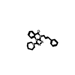 O=c1c2ccccc2n2c(N3CCCCCC3)nnc2n1CC=Cc1ccccc1